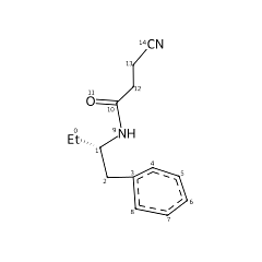 CC[C@@H](Cc1ccccc1)NC(=O)CCC#N